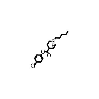 CCCCC[SiH]1CCC(C(=O)Oc2ccc(Cl)cc2)CC1